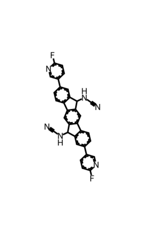 N#CNC1c2cc(-c3ccc(F)nc3)ccc2-c2cc3c(cc21)-c1ccc(-c2ccc(F)nc2)cc1C3NC#N